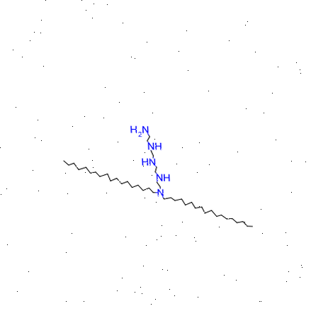 CCCCCCCCCCCCCCCCCCN(CCCCCCCCCCCCCCCCCC)CCNCCNCCNCCN